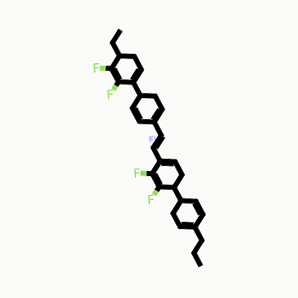 CCCC1=CCC(C2CC=C(/C=C/C3=CCC(C4=CCC(CC)C(F)=C4F)C=C3)C(F)=C2F)C=C1